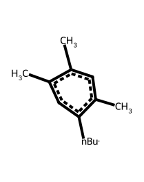 CCC[CH]c1cc(C)c(C)cc1C